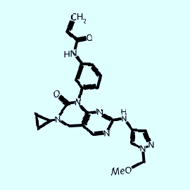 C=CC(=O)Nc1cccc(N2C(=O)N(C3CC3)Cc3cnc(Nc4cnn(COC)c4)nc32)c1